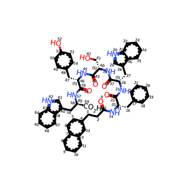 O=C(CCc1ccc2ccccc2c1)N[C@@H](Cc1ccccc1)C(=O)N[C@@H](Cc1c[nH]c2ccccc12)C(=O)N[C@@H](CO)C(=O)N[C@@H](Cc1ccc(O)cc1)C(=O)N[C@H](Cc1c[nH]c2ccccc12)C(=O)O